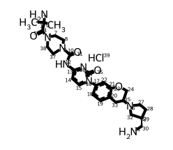 CC(C)(N)C(=O)N1CCN(C(=O)Nc2ccn(-c3ccc4c(c3)OCC(N3CC[C@@H](CN)C3)C4)c(=O)n2)CC1.Cl